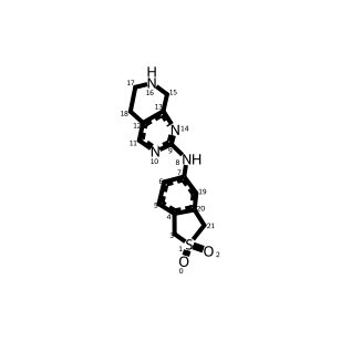 O=S1(=O)Cc2ccc(Nc3ncc4c(n3)CNCC4)cc2C1